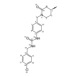 C[C@H]1CCN(Cc2ccc(NC(=O)NCc3ccc(Cl)cc3)cc2)C(=O)C1